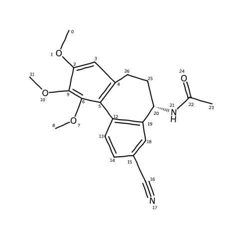 COc1cc2c(c(OC)c1OC)-c1ccc(C#N)cc1[C@@H](NC(C)=O)CC2